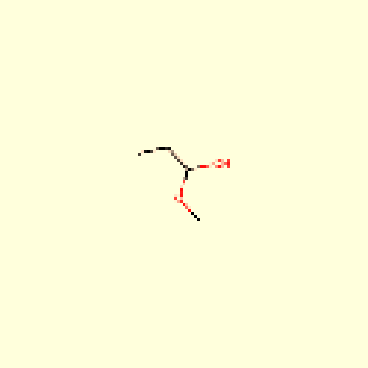 CCC(O)OC